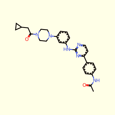 CC(=O)Nc1ccc(-c2ccnc(Nc3cccc(N4CCN(C(=O)CC5CC5)CC4)c3)n2)cc1